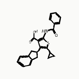 O=C(Nc1sc(C2CC2)c(C2Cc3ccccc3C2)c1C(=O)O)c1ccccc1